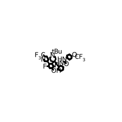 CC(C)(C)CN1CCC2(CC1)CN(c1ccccc1NC(=O)Nc1ccc(OC(F)(F)F)cc1)c1c(O)cc(F)c(-c3ccc(C(F)(F)F)nc3)c12